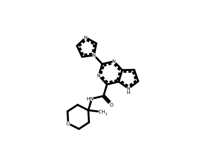 CC1(NC(=O)c2nc(-n3ccnc3)nc3cc[nH]c23)CCOCC1